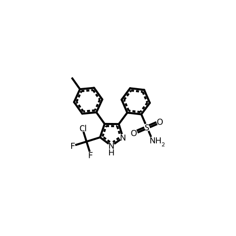 Cc1ccc(-c2c(-c3ccccc3S(N)(=O)=O)n[nH]c2C(F)(F)Cl)cc1